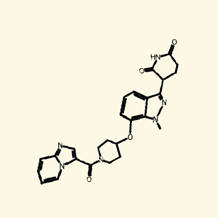 Cn1nc(C2CCC(=O)NC2=O)c2cccc(OC3CCN(C(=O)c4cnc5ccccn45)CC3)c21